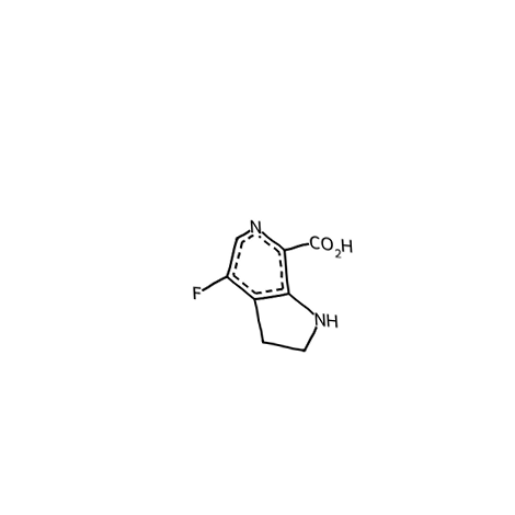 O=C(O)c1ncc(F)c2c1NCC2